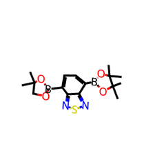 CC1(C)COB(c2ccc(B3OC(C)(C)C(C)(C)O3)c3nsnc23)O1